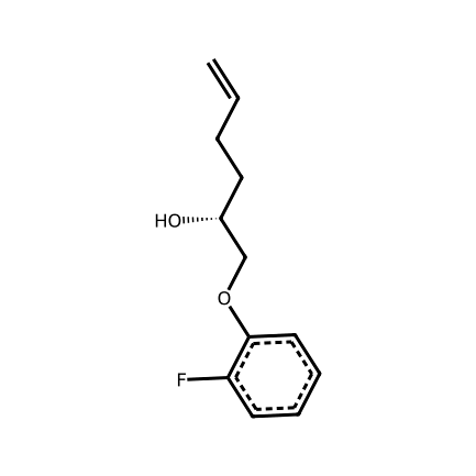 C=CCC[C@@H](O)COc1ccccc1F